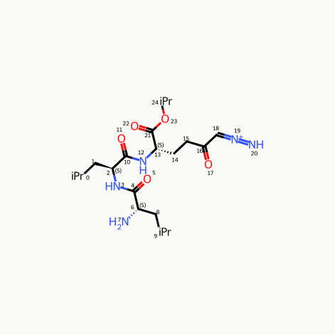 CC(C)C[C@H](NC(=O)[C@@H](N)CC(C)C)C(=O)N[C@@H](CCC(=O)C=[N+]=N)C(=O)OC(C)C